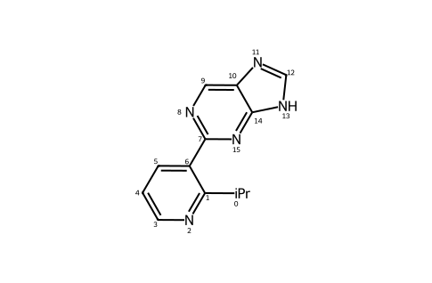 CC(C)c1ncccc1-c1ncc2nc[nH]c2n1